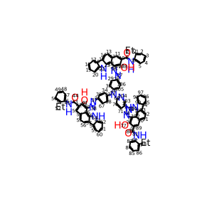 CCc1ccccc1NC(=O)c1cc2ccc3c4ccccc4[nH]c3c2c(N=Nc2ccc(N(c3ccc(/N=N/c4c(O)c(C(=O)Nc5ccccc5CC)cc5ccc6c7ccccc7[nH]c6c45)cc3)c3ccc(N=Nc4c(O)c(C(=O)Nc5ccccc5CC)cc5ccc6c7ccccc7[nH]c6c45)cn3)cc2)c1O